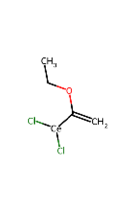 C=[C](OCC)[Ce]([Cl])[Cl]